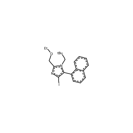 CCOCc1nc(I)c(-c2cccc3ccccc23)n1CC(C)(C)C